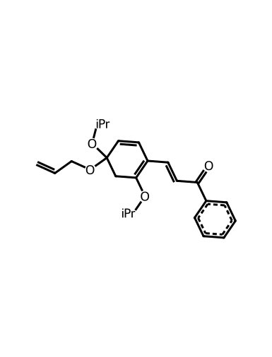 C=CCOC1(OC(C)C)C=CC(C=CC(=O)c2ccccc2)=C(OC(C)C)C1